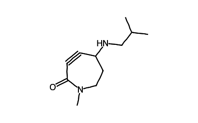 CC(C)CNC1C#CC(=O)N(C)CC1